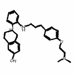 CN(C)CCOc1ccc(CCCNc2ccccc2[C@@H]2CCc3cc(O)ccc3C2)cc1